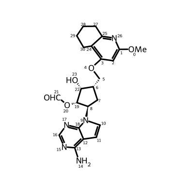 COc1cc(OC[C@@H]2C[C@@H](n3ccc4c(N)ncnc43)[C@H](OC=O)[C@@H]2O)c2c(n1)CCCC2